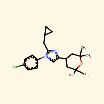 CC1(C)CC(c2cn(-c3ccc(Cl)cc3)c(CC3CC3)n2)CC(C)(C)O1